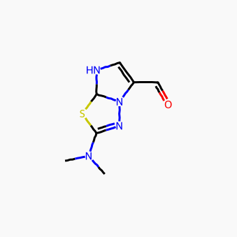 CN(C)C1=NN2C(C=O)=CNC2S1